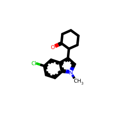 Cn1cc(C2CCCCC2=O)c2cc(Cl)ccc21